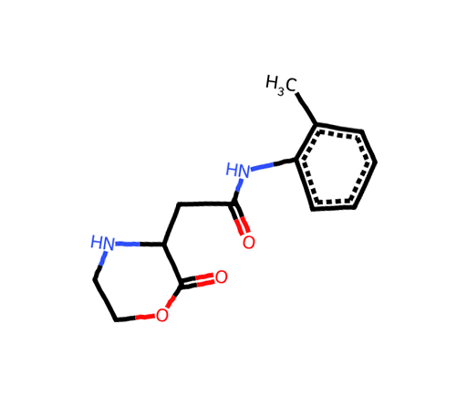 Cc1ccccc1NC(=O)CC1NCCOC1=O